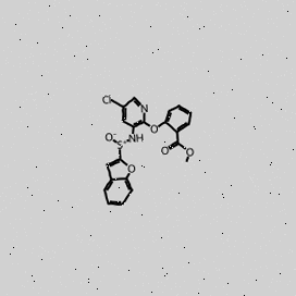 COC(=O)c1ccccc1Oc1ncc(Cl)cc1N[S+]([O-])c1cc2ccccc2o1